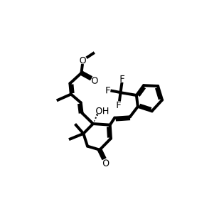 COC(=O)/C=C(C)\C=C\[C@@]1(O)C(/C=C/c2ccccc2C(F)(F)F)=CC(=O)CC1(C)C